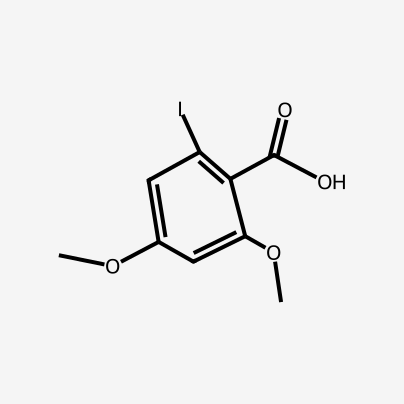 COc1cc(I)c(C(=O)O)c(OC)c1